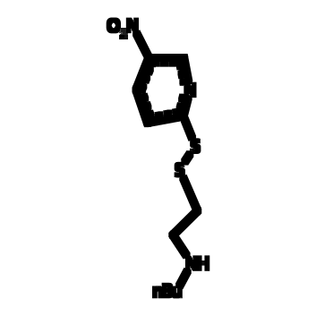 CCCCNCCSSc1ccc([N+](=O)[O-])cn1